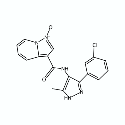 Cc1[nH]nc(-c2cccc(Cl)c2)c1NC(=O)c1c[n+]([O-])n2ccccc12